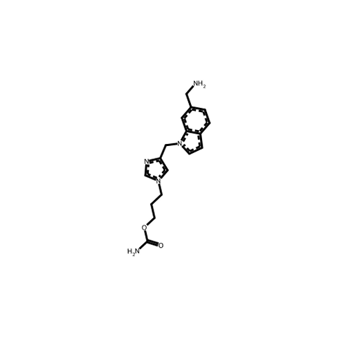 NCc1ccc2ccn(Cc3cn(CCCOC(N)=O)cn3)c2c1